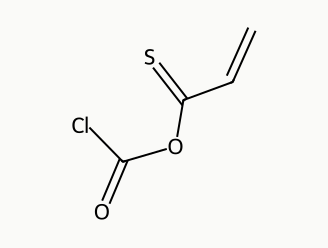 C=CC(=S)OC(=O)Cl